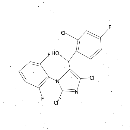 OC(c1ccc(F)cc1Cl)c1c(Cl)nc(Cl)n1-c1c(F)cccc1F